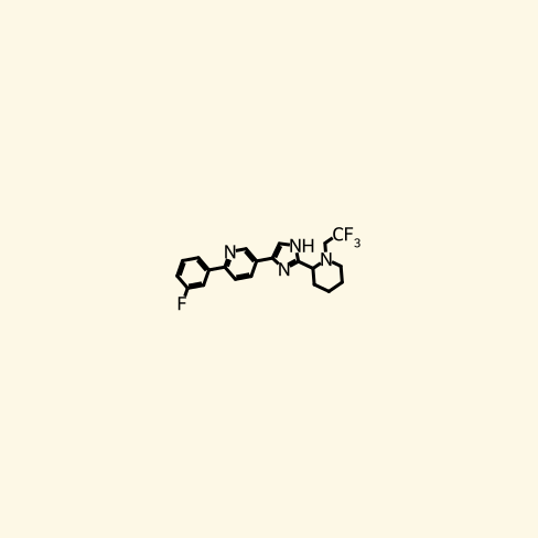 Fc1cccc(-c2ccc(-c3c[nH]c(C4CCCCN4CC(F)(F)F)n3)cn2)c1